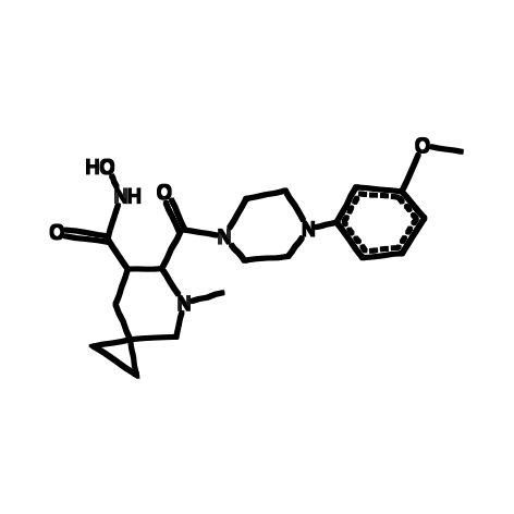 COc1cccc(N2CCN(C(=O)C3C(C(=O)NO)CC4(CC4)CN3C)CC2)c1